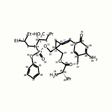 CCC(CC)CN([C@@H](CC(C)C)C(=O)O)[P@](=O)(OC[C@@]1(COC(=O)[C@@H](N)C(C)C)C/C1=C/n1cc(F)c(N)nc1=O)Oc1ccccc1